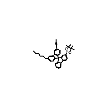 CC#Cc1ccc(C2(c3ccc(CCCCCC)cc3)c3ccccc3-c3ccc(B4OC(C)(C)C(C)(C)O4)cc32)cc1